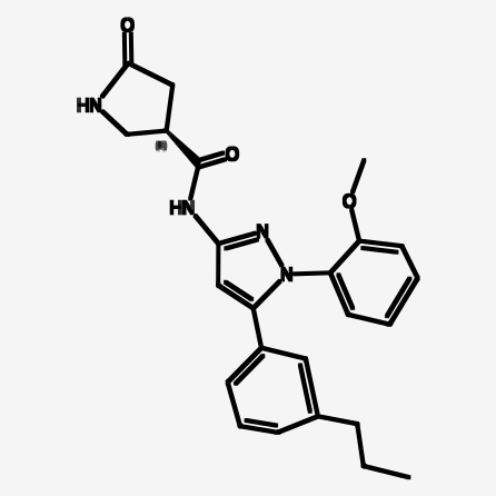 CCCc1cccc(-c2cc(NC(=O)[C@H]3CNC(=O)C3)nn2-c2ccccc2OC)c1